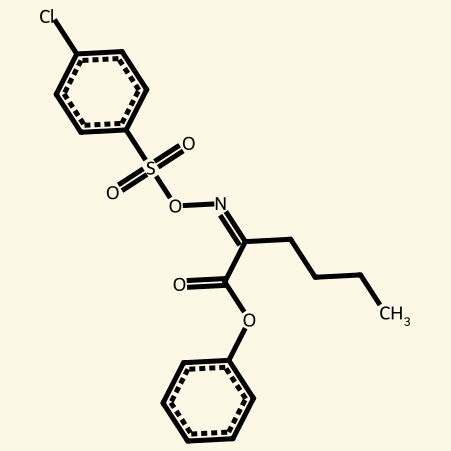 CCCCC(=NOS(=O)(=O)c1ccc(Cl)cc1)C(=O)Oc1ccccc1